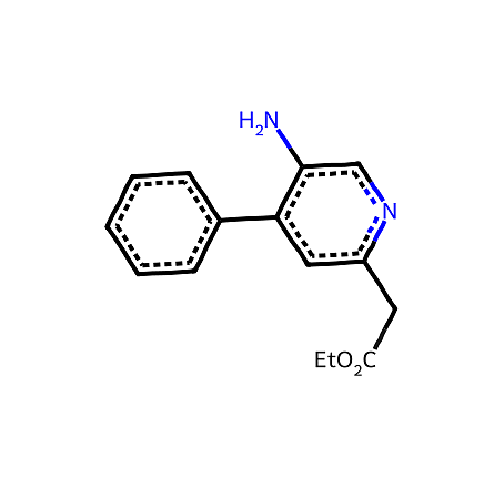 CCOC(=O)Cc1cc(-c2ccccc2)c(N)cn1